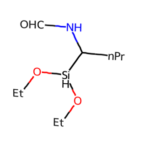 CCCC(NC=O)[SiH](OCC)OCC